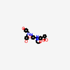 COC(=O)[C@@H]1CCCC1c1cc2c3c(c1)nc(-c1ccc4oc(N(Cc5ccc(OC)cc5)Cc5ccc(OC)cc5)nc4c1)n3CCCCO2